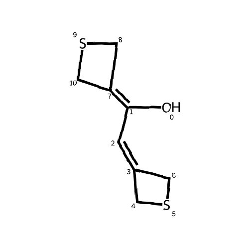 OC(C=C1CSC1)=C1CSC1